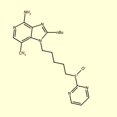 CCCCc1nc2c(N)ncc(C)c2n1CCCCC[S+]([O-])c1ncccn1